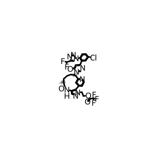 C[C@@H]1CCC[C@H](n2cnc(-c3cc(Cl)ccc3-n3cc(C(F)F)nn3)cc2=O)c2cc(ccn2)-c2c(cnn2CCOC(=O)C(F)(F)F)NC1=O